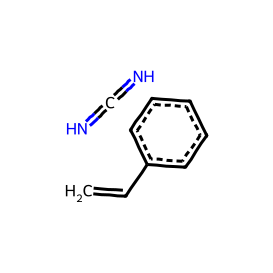 C=Cc1ccccc1.N=C=N